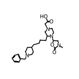 CN1CC(N2CCN(CC(=O)O)CC2CCCCC2CCN(Cc3ccccc3)CC2)OC1=O